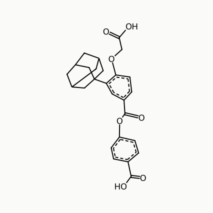 O=C(O)COc1ccc(C(=O)Oc2ccc(C(=O)O)cc2)cc1C12CC3CC(CC(C3)C1)C2